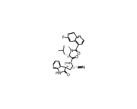 CC(C)C[C@@H](C(=O)N1C[C@]2(C[C@H]1C#N)C(=O)Nc1ccccc12)N(C)C(=O)c1ccnc2ccc(F)cc12